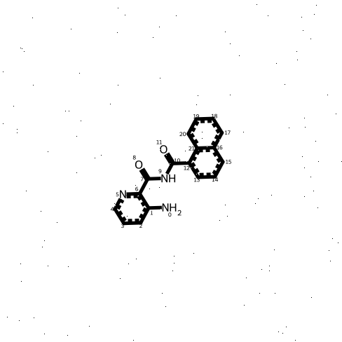 Nc1cccnc1C(=O)NC(=O)c1cccc2ccccc12